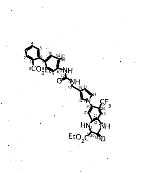 CCOC(=O)c1ccccc1-c1ccc(NC(=O)NCc2ccn(-c3cc4c(cc3C(F)(F)F)NC(=O)C(C(=O)OCC)N4)c2)c(F)c1